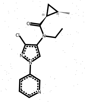 CCN(C(=O)[C@H]1C[C@@H]1C)c1cn(-c2cccnc2)nc1Cl